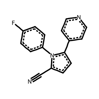 N#Cc1ccc(-c2ccncc2)n1-c1ccc(F)cc1